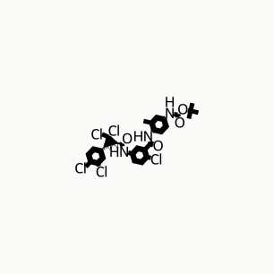 Cc1cc(NC(=O)OC(C)(C)C)ccc1NC(=O)c1cc(NC(=O)[C@H]2[C@H](c3ccc(Cl)c(Cl)c3)C2(Cl)Cl)ccc1Cl